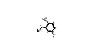 N#Cc1ccc(Cl)cc1CBr